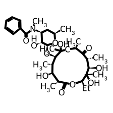 CC[C@H]1OC(=O)[C@H](C)[C@@H](O)[C@H](C)[C@@H](O[C@@H]2O[C@H](C)C[C@H](N(C)C(=O)c3ccccc3)[C@H]2O)C(C)(O)C[C@@H](C)C(=O)[C@H](C)[C@@H](O)[C@]1(C)O